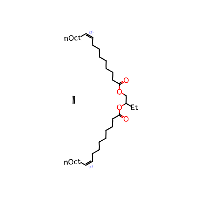 C=C.CCCCCCCC/C=C\CCCCCCCC(=O)OCC(CC)OC(=O)CCCCCCC/C=C\CCCCCCCC